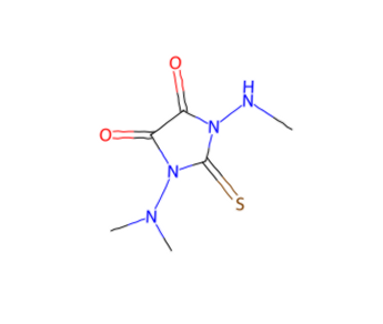 CNN1C(=O)C(=O)N(N(C)C)C1=S